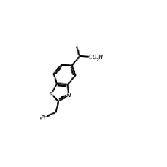 CC(C)Cc1nc2cc(C(C)C(=O)O)ccc2s1